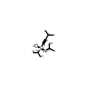 CC(C)C#CS(=O)(=NC(C)C)C(C)C